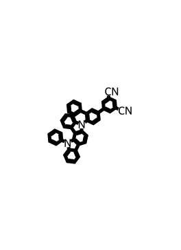 N#Cc1cc(C#N)cc(-c2ccc(-n3c4ccccc4c4c3ccc3c5ccccc5n(-c5ccccc5)c34)c(-c3ccccc3)c2)c1